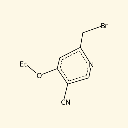 CCOc1cc(CBr)ncc1C#N